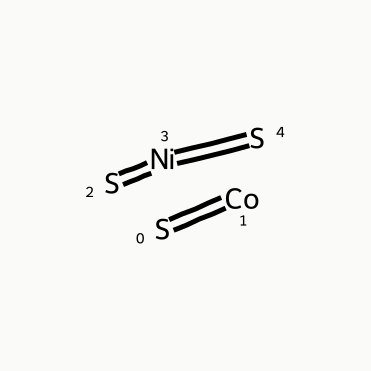 [S]=[Co].[S]=[Ni]=[S]